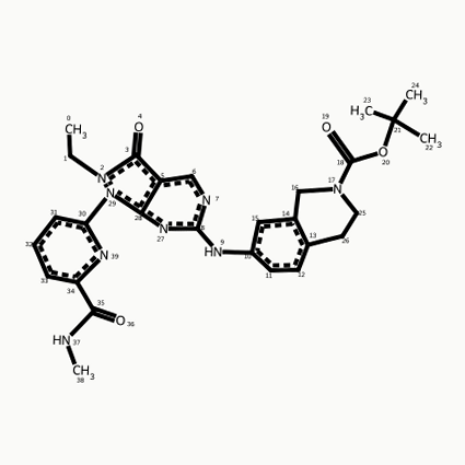 CCn1c(=O)c2cnc(Nc3ccc4c(c3)CN(C(=O)OC(C)(C)C)CC4)nc2n1-c1cccc(C(=O)NC)n1